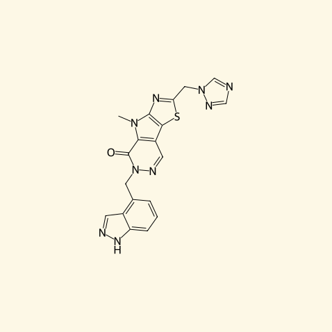 Cn1c2nc(Cn3cncn3)sc2c2cnn(Cc3cccc4[nH]ncc34)c(=O)c21